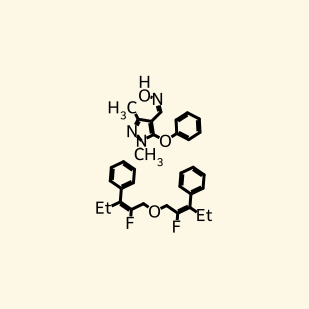 CC/C(=C(\F)COC/C(F)=C(/CC)c1ccccc1)c1ccccc1.Cc1nn(C)c(Oc2ccccc2)c1/C=N\O